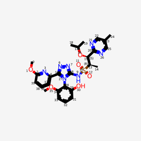 COC1=NC(c2nnc(NS(=O)(=O)[C@H](C)[C@@H](OC(C)C)c3ncc(C)cn3)n2-c2c(O)cccc2OC)=C=C=C1